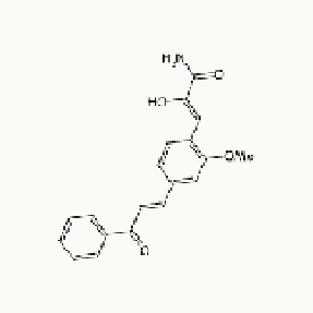 COc1cc(/C=C/C(=O)c2ccccc2)ccc1/C=C(\O)C(N)=O